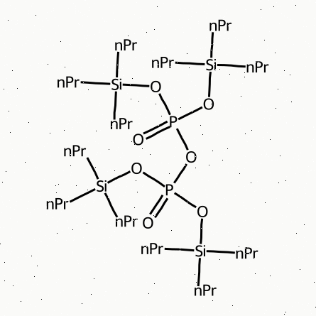 CCC[Si](CCC)(CCC)OP(=O)(O[Si](CCC)(CCC)CCC)OP(=O)(O[Si](CCC)(CCC)CCC)O[Si](CCC)(CCC)CCC